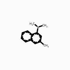 Cc1cc(N(C)C)c2ccccc2c1